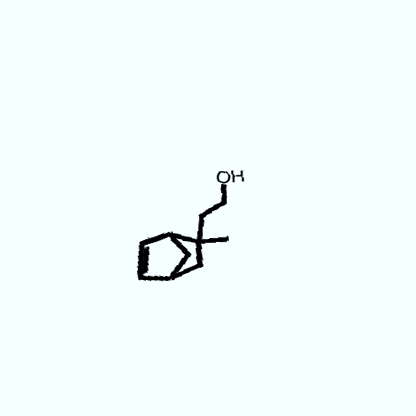 CC1(CCO)CC2C=CC1C2